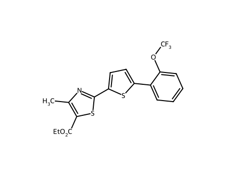 CCOC(=O)c1sc(-c2ccc(-c3ccccc3OC(F)(F)F)s2)nc1C